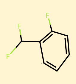 Fc1ccc[c]c1C(F)F